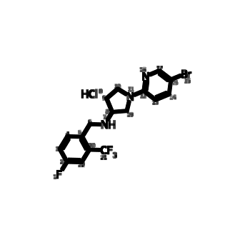 Cl.Fc1ccc(CNC2CCN(c3ccc(Br)cn3)C2)c(C(F)(F)F)c1